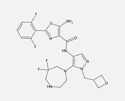 Nc1sc(-c2c(F)cccc2F)nc1C(=O)Nc1cnn(CC2COC2)c1N1CCNCC(F)(F)C1